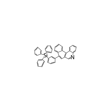 c1ccc([Si](c2ccccc2)(c2ccccc2)c2cccc(-c3cc4cnc5ccccc5c4c4ccccc34)c2)cc1